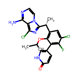 CC(C)Oc1c([C@@H](C)c2nc(Cl)c3c(N)nccn23)cc(Cl)c(F)c1-c1ccc(=O)[nH]c1